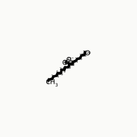 CCCCC/C=C/C/C=C/C/C(=C/CCCCCC[C]=O)[N+](=O)[O-]